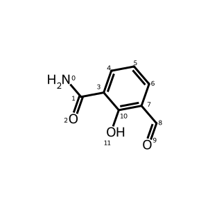 NC(=O)c1cccc(C=O)c1O